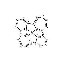 C1=CC=C2C(=CC=1)C1(c3ccccc32)c2ccccc2-c2ccccc21